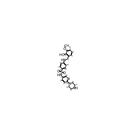 COc1cccc(CNc2ccc(S(=O)(=O)Nc3ccc(N4CCNCC4)nc3)cc2)c1O